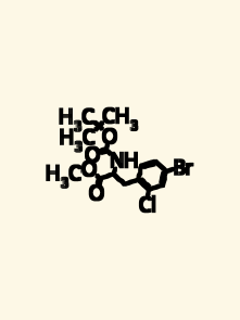 COC(=O)C(Cc1ccc(Br)cc1Cl)NC(=O)OC(C)(C)C